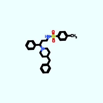 Cc1ccc(S(=O)(=O)NCCC(c2ccccc2)N2CCC(Cc3ccccc3)CC2)cc1